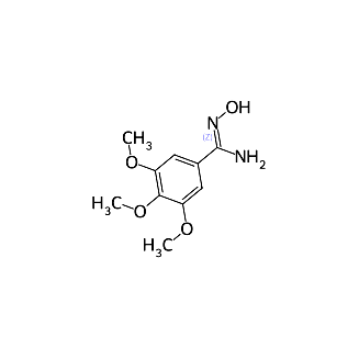 COc1cc(/C(N)=N/O)cc(OC)c1OC